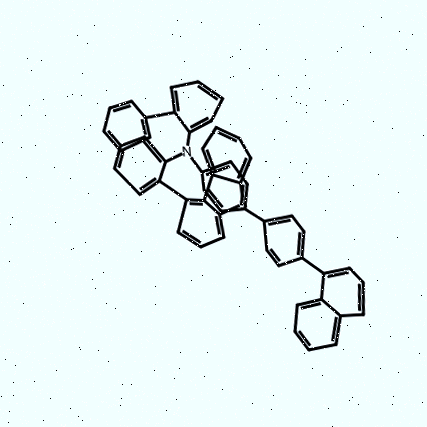 c1ccc(-c2ccccc2N(c2ccc(-c3ccc(-c4cccc5ccccc45)cc3)cc2)c2ccccc2-c2cccc3sc4ccccc4c23)cc1